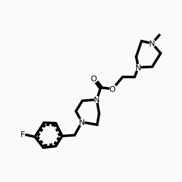 CN1CCN(CCOC(=O)N2CCN(Cc3ccc(F)cc3)CC2)CC1